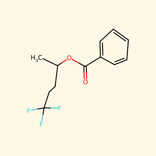 CC(CCC(F)(F)F)OC(=O)c1ccccc1